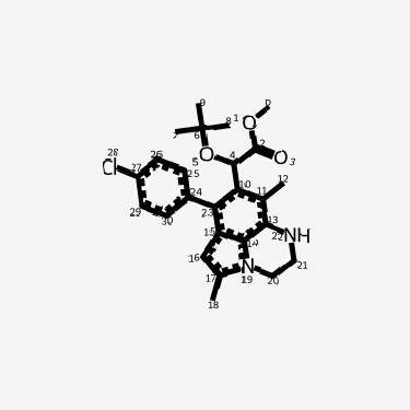 COC(=O)C(OC(C)(C)C)c1c(C)c2c3c(cc(C)n3CCN2)c1-c1ccc(Cl)cc1